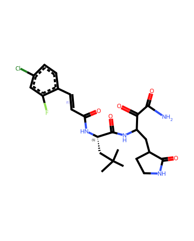 CC(C)(C)C[C@H](NC(=O)/C=C/c1ccc(Cl)cc1F)C(=O)NC(CC1CCNC1=O)C(=O)C(N)=O